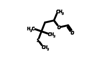 CSC(C)(C)CC(C)OC=O